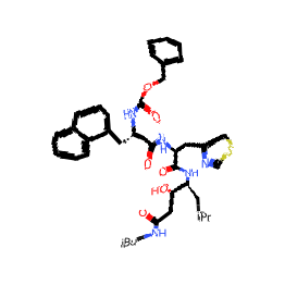 CCC(C)NC(=O)C[C@H](O)[C@H](CC(C)C)NC(=O)C(Cc1cscn1)NC(=O)[C@H](Cc1cccc2ccccc12)NC(=O)OCc1ccccc1